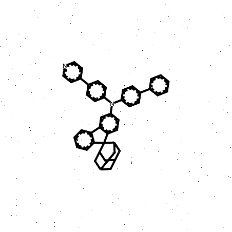 c1ccc(-c2ccc(N(c3ccc(-c4ccncc4)cc3)c3ccc4c(c3)-c3ccccc3C43C4CC5CC(C4)CC3C5)cc2)cc1